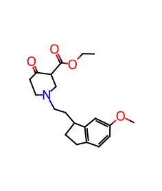 CCOC(=O)C1CN(CCC2CCc3ccc(OC)cc32)CCC1=O